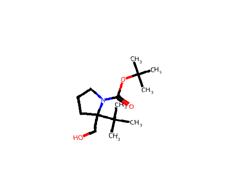 CC(C)(C)OC(=O)N1CCCC1(CO)C(C)(C)C